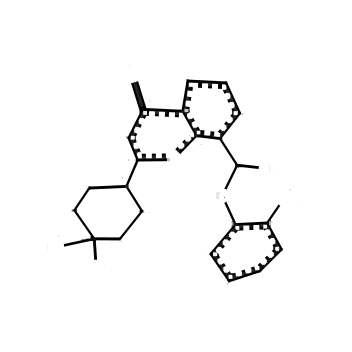 CC(Nc1ccccc1C(=O)O)c1cccc2c(=O)cc(C3CCC(C)(C)CC3)oc12